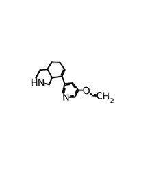 C=COc1cncc(C2=CCCC3CCNCC23)c1